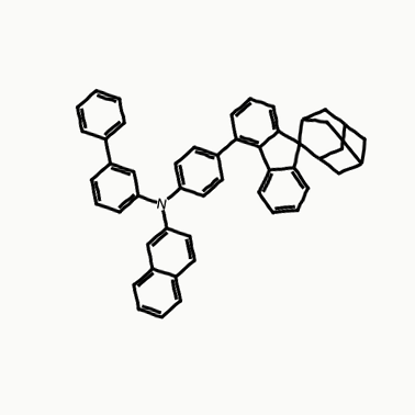 c1ccc(-c2cccc(N(c3ccc(-c4cccc5c4-c4ccccc4C54C5CC6CC(C5)CC4C6)cc3)c3ccc4ccccc4c3)c2)cc1